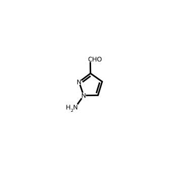 Nn1ccc(C=O)n1